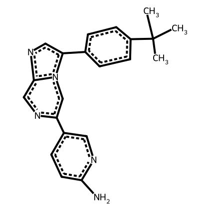 CC(C)(C)c1ccc(-c2cnc3cnc(-c4ccc(N)nc4)cn23)cc1